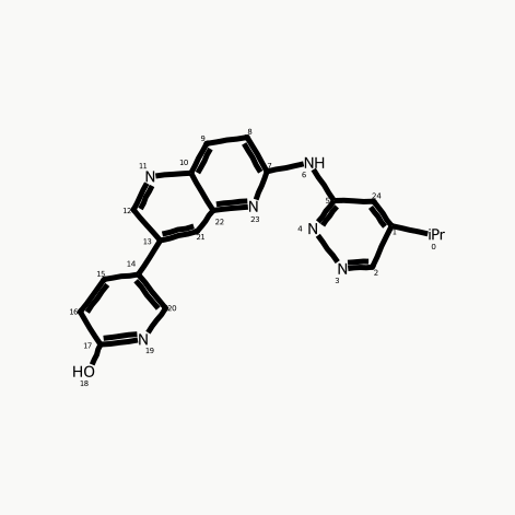 CC(C)c1cnnc(Nc2ccc3ncc(-c4ccc(O)nc4)cc3n2)c1